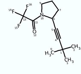 CC(C)(C)C#CC1CCCN1C(=O)C(F)(F)F